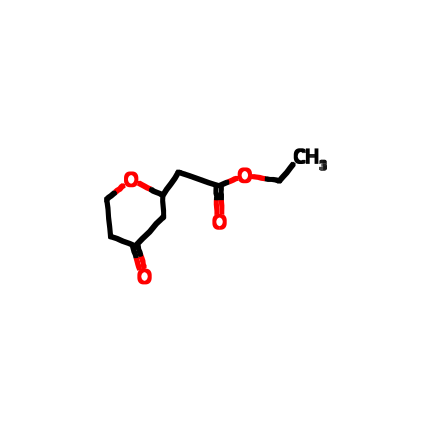 CCOC(=O)CC1CC(=O)CCO1